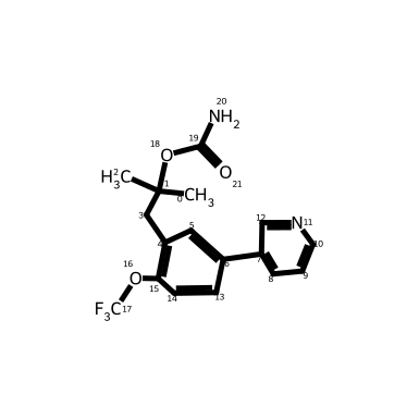 CC(C)(Cc1cc(-c2cccnc2)ccc1OC(F)(F)F)OC(N)=O